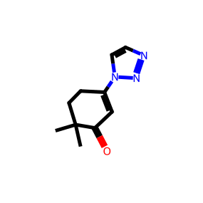 CC1(C)CCC(n2ccnn2)=CC1=O